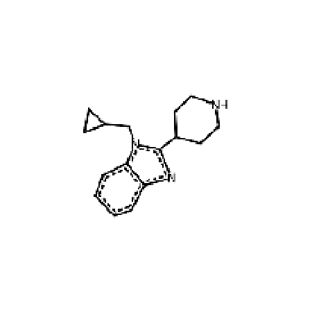 c1ccc2c(c1)nc(C1CCNCC1)n2CC1CC1